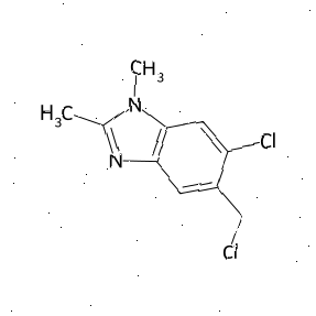 Cc1nc2cc(CCl)c(Cl)cc2n1C